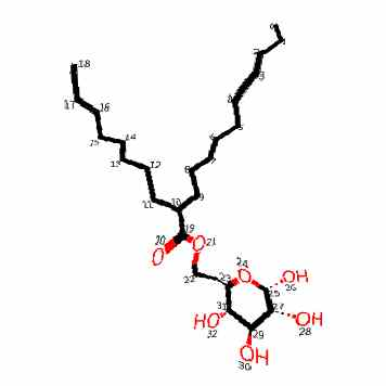 CCCCCCCCCCC(CCCCCCCC)C(=O)OC[C@H]1O[C@H](O)[C@H](O)[C@@H](O)[C@@H]1O